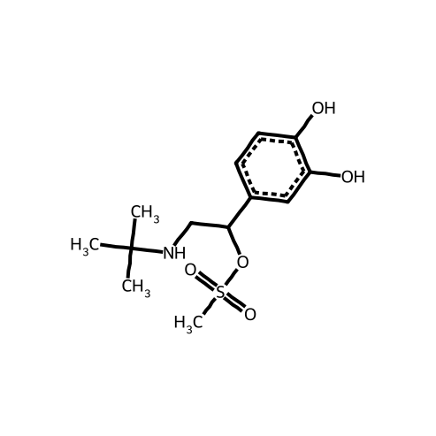 CC(C)(C)NCC(OS(C)(=O)=O)c1ccc(O)c(O)c1